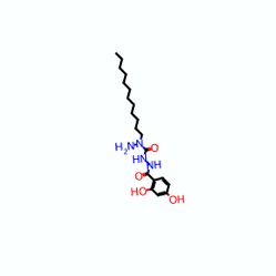 CCCCCCCCCCCCN(N)C(=O)NNC(=O)c1ccc(O)cc1O